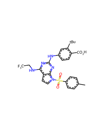 Cc1ccc(S(=O)(=O)n2ccc3c(NCC(F)(F)F)nc(Nc4ccc(C(=O)O)c(C(C)(C)C)c4)nc32)cc1